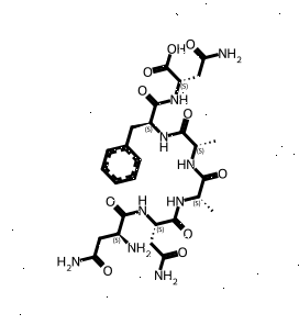 C[C@H](NC(=O)[C@H](C)NC(=O)[C@H](CC(N)=O)NC(=O)[C@@H](N)CC(N)=O)C(=O)N[C@@H](Cc1ccccc1)C(=O)N[C@@H](CC(N)=O)C(=O)O